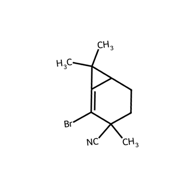 CC1(C#N)CCC2C(=C1Br)C2(C)C